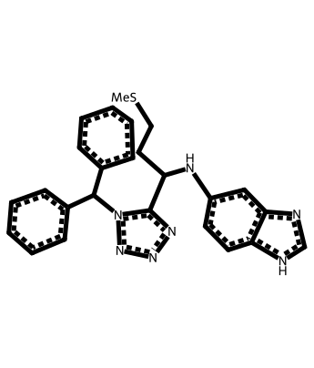 CSCCC(Nc1ccc2[nH]cnc2c1)c1nnnn1C(c1ccccc1)c1ccccc1